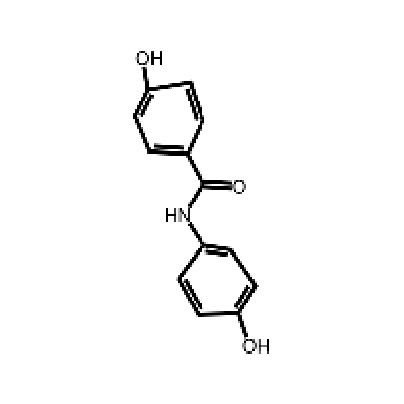 O=C(Nc1ccc(O)cc1)c1ccc(O)cc1